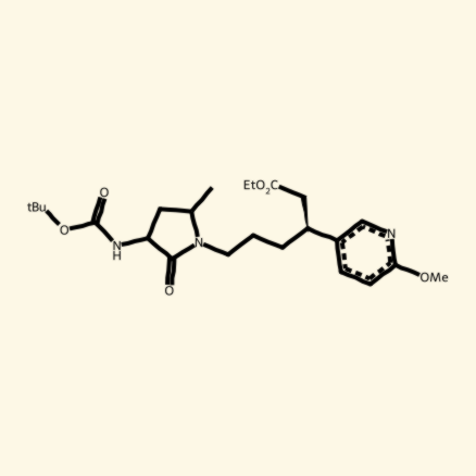 CCOC(=O)C[C@H](CCCN1C(=O)C(NC(=O)OC(C)(C)C)CC1C)c1ccc(OC)nc1